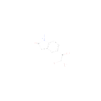 O=C1Cc2cc(C(=O)C(Br)Br)ccc2N1